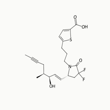 CC#CC[C@H](C)[C@H](O)/C=C/[C@H]1CC(F)(F)C(=O)N1CCCc1ccc(C(=O)O)s1